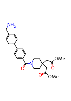 COC(=O)CC1(CC(=O)OC)CCN(C(=O)c2ccc(-c3ccc(CN)cc3)cc2)CC1